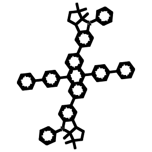 CC1(C)CCC2c3cc(-c4ccc5c(-c6ccc(-c7ccccc7)cc6)c6cc(-c7ccc8c(c7)C7CCC(C)(C)C7(C)N8c7ccccc7)ccc6c(-c6ccc(-c7ccccc7)cc6)c5c4)ccc3N(c3ccccc3)C21C